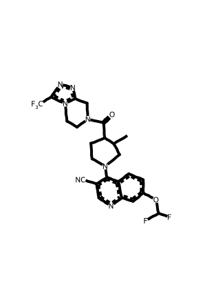 CC1CN(c2c(C#N)cnc3cc(OC(F)F)ccc23)CCC1C(=O)N1CCn2c(nnc2C(F)(F)F)C1